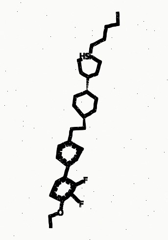 CCCCC[SiH]1CCC([C@H]2CC[C@H](CCc3ccc(-c4ccc(OCC)c(F)c4F)cc3)CC2)CC1